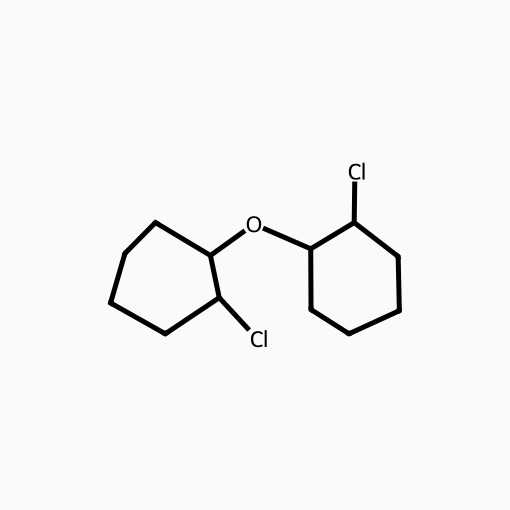 ClC1CCCCC1OC1CCCCC1Cl